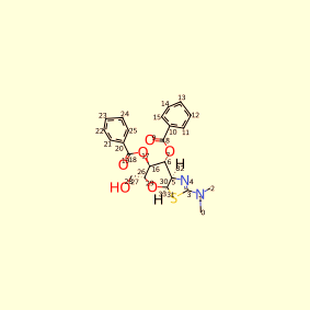 CN(C)C1=N[C@@H]2[C@@H](OC(=O)c3ccccc3)[C@H](OC(=O)c3ccccc3)[C@@H](CO)O[C@@H]2S1